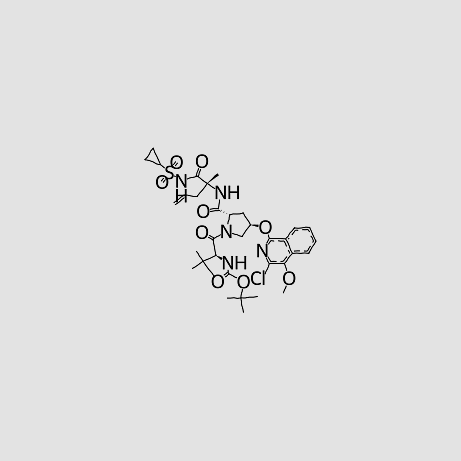 C=CC[C@@](C)(NC(=O)[C@@H]1C[C@@H](Oc2nc(Cl)c(OC)c3ccccc23)CN1C(=O)[C@@H](NC(=O)OC(C)(C)C)C(C)(C)C)C(=O)NS(=O)(=O)C1CC1